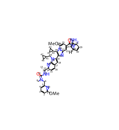 COc1cccc(CN(C)C(=O)N[C@H](C)c2ccc3cc(-c4nc5cc(C(=O)N6C7C=C[C@H]6C[C@H]7N)cc(OC)n5c4C4CC4)n(CC4CC4)c3n2)n1